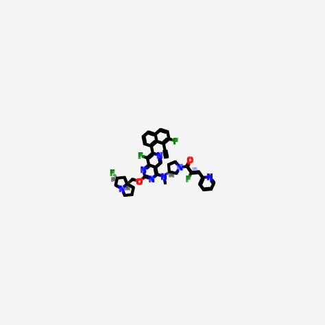 C#Cc1c(F)ccc2cccc(-c3ncc4c(N(C)[C@@H]5CCN(C(=O)/C(F)=C/c6ccccn6)C5)nc(OC[C@@]56CCCN5C[C@H](F)C6)nc4c3F)c12